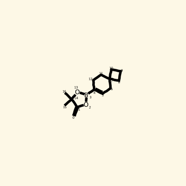 C=C1OB(C2=CCC3(CCC3)CC2)OC1(C)C